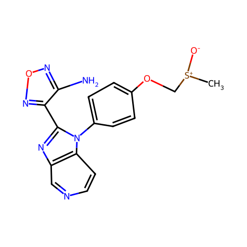 C[S+]([O-])COc1ccc(-n2c(-c3nonc3N)nc3cnccc32)cc1